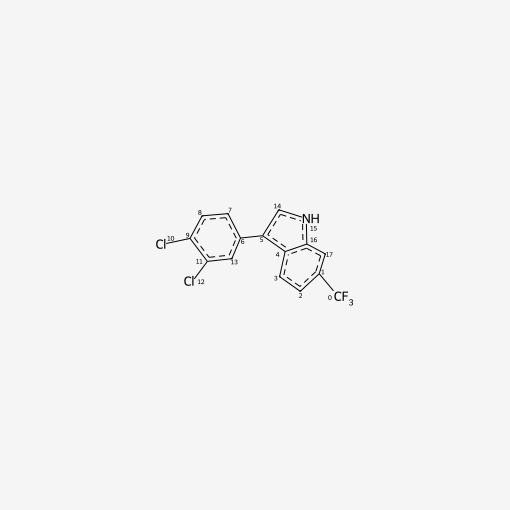 FC(F)(F)c1ccc2c(-c3ccc(Cl)c(Cl)c3)c[nH]c2c1